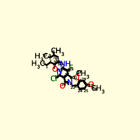 CCCC(=O)[C@@H](CC(C)CC)Nc1nc(Cl)c2c(c1F)CN(Cc1ccc(OC)cc1OC)C2=O